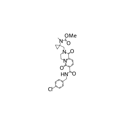 COC(=O)N(C)C1(CN2CCn3c(ccc(C(=O)NCc4ccc(Cl)cc4)c3=O)C2=O)CC1